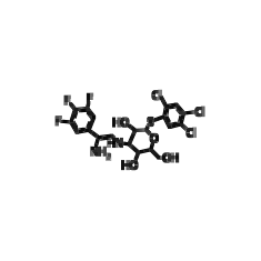 N/C(=C\NC1C(O)C(CO)OC(Sc2cc(Cl)c(Cl)cc2Cl)C1O)c1cc(F)c(F)c(F)c1